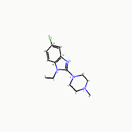 CCn1c(N2CCN(C)CC2)nc2cc(Cl)ccc21